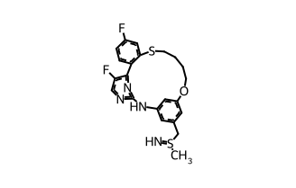 CS(=N)Cc1cc2cc(c1)OCCCCSc1cc(F)ccc1-c1nc(ncc1F)N2